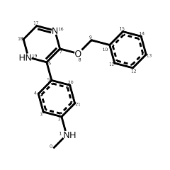 CNc1ccc(C2=C(OCc3ccccc3)N=CCN2)cc1